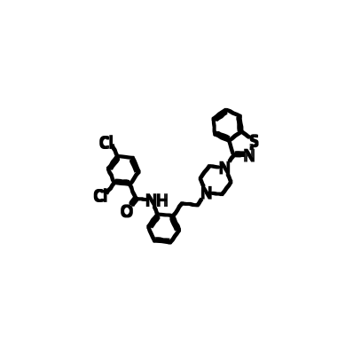 O=C(Nc1ccccc1CCN1CCN(c2nsc3ccccc23)CC1)c1ccc(Cl)cc1Cl